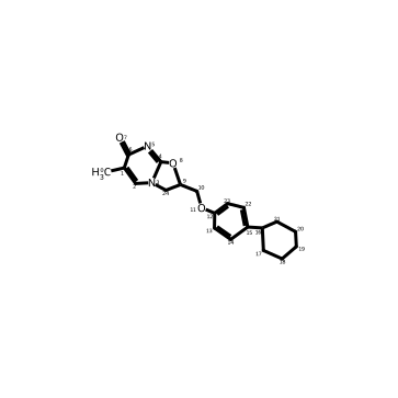 Cc1cn2c(nc1=O)OC(COc1ccc(C3CCCCC3)cc1)C2